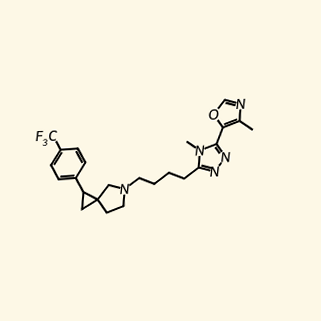 Cc1ncoc1-c1nnc(CCCCN2CCC3(CC3c3ccc(C(F)(F)F)cc3)C2)n1C